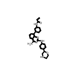 C=CC(=O)Nc1cccc(-c2cccc3c(N)nc(Nc4ccc(C5CNCCO5)cc4)nc23)c1